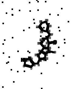 Cn1c2nc(Cc3cc[nH]n3)sc2c2cnn(CC3=CCCC=C3)c(=O)c21